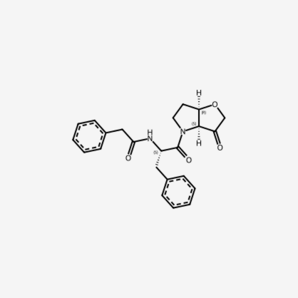 O=C(Cc1ccccc1)N[C@@H](Cc1ccccc1)C(=O)N1CC[C@H]2OCC(=O)[C@H]21